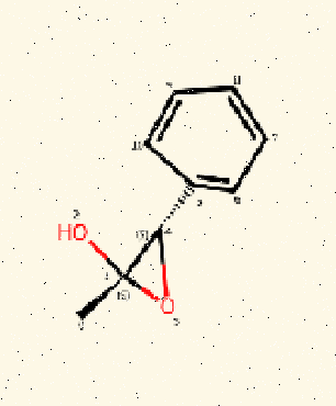 C[C@]1(O)O[C@H]1c1ccccc1